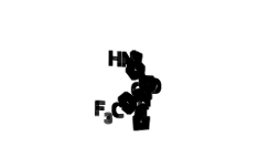 O=C(c1ccc(C(F)(F)F)cc1)N(CCN1CCCC1)Cc1cc(-c2ccc3[nH]ccc3c2)co1